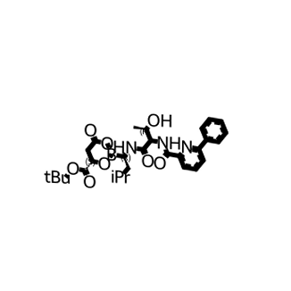 CC(C)C[C@H](NC(=O)C(NC(=O)c1cccc(-c2ccccc2)n1)[C@@H](C)O)B1OC(=O)C[C@@H](C(=O)OC(C)(C)C)O1